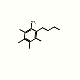 CCCCc1c(C)c(C)c(C)c(C)c1N